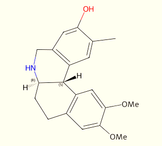 COc1cc2c(cc1OC)[C@H]1c3cc(C)c(O)cc3CN[C@@H]1CC2